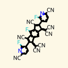 N#CC(C#N)=C1C(c2ccc(C#N)nc2F)=C(C#N)c2c1cc1c(c2F)C(C#N)=C(c2ccc(C#N)nc2F)C1=C(C#N)C#N